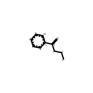 C=C(CCC)c1ccccc1